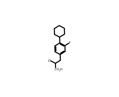 O=C(O)C(Cl)Cc1ccc(C2CCCCC2)c(F)c1